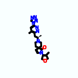 CC1=C(N2C=CC3(CCN([C@@H](C)Cc4nnc(-n5cnnn5)cc4C)CC3)C2=O)COC1